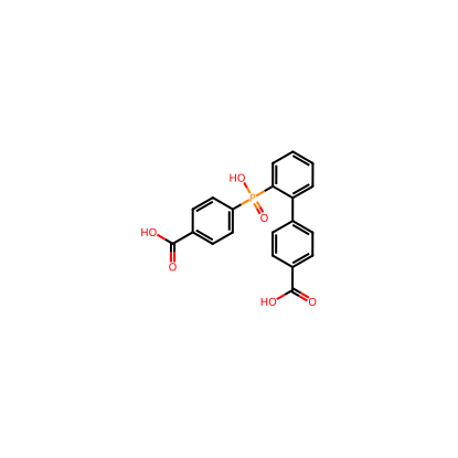 O=C(O)c1ccc(-c2ccccc2P(=O)(O)c2ccc(C(=O)O)cc2)cc1